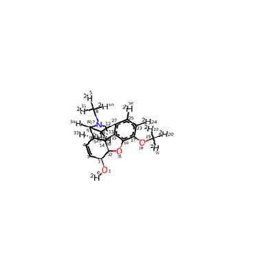 [2H]OC1C=C[C@H]2[C@@H]3N(C([2H])([2H])[2H])CC[C@@]24c2c(c(OC([2H])([2H])[2H])c([2H])c([2H])c2C3([2H])[2H])OC14